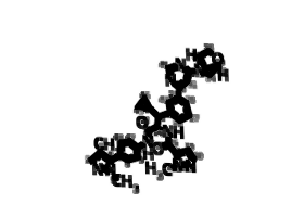 Cc1cnn(C)c1-c1ccc(NC(=O)[C@@H](NC(=O)c2ccnn2C)C(c2cccc(-c3cc(N4C[C@@H]5C[C@H]4CO5)ncn3)c2)C2CC2)cc1